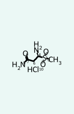 CS(=O)(=O)[C@H](N)CC(N)=O.Cl